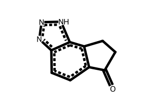 O=C1CCc2c1ccc1nn[nH]c21